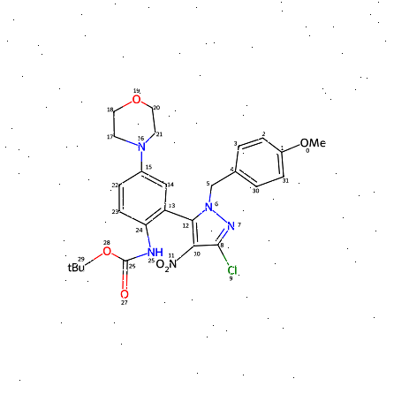 COc1ccc(Cn2nc(Cl)c([N+](=O)[O-])c2-c2cc(N3CCOCC3)ccc2NC(=O)OC(C)(C)C)cc1